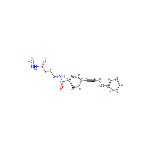 O=C(CCCNC(=O)c1ccc(C#CCOc2ccccc2)cc1)NO